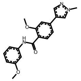 COc1cccc(NC(=O)c2ccc(-c3cnn(C)c3)cc2OC)c1